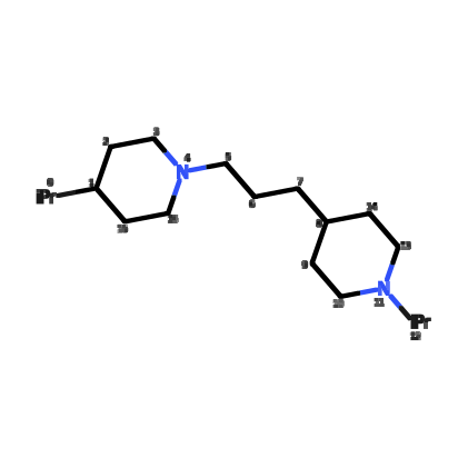 CC(C)C1CCN(CCCC2CCN(C(C)C)CC2)CC1